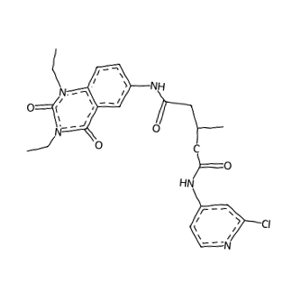 CCn1c(=O)c2cc(NC(=O)CC(C)CC(=O)Nc3ccnc(Cl)c3)ccc2n(CC)c1=O